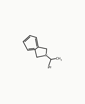 CC(C)C(C)N1Cc2ccccc2C1